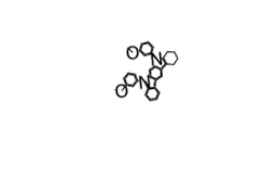 COc1cccc(-n2c3c(c4cc5c6ccccc6n(-c6cccc(OC)c6)c5cc42)CCCC3)c1